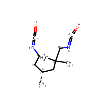 C[C@H](CCN=C=O)CC(C)(C)CN=C=O